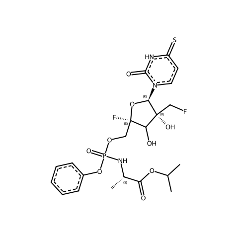 CC(C)OC(=O)[C@H](C)NP(=O)(OC[C@@]1(F)O[C@@H](n2ccc(=S)[nH]c2=O)[C@@](O)(CF)C1O)Oc1ccccc1